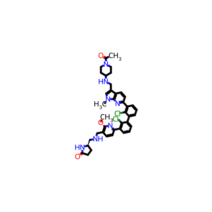 COc1nc(-c2cccc(-c3cccc(-c4ccc5c(CNC6CCN(C(C)=O)CC6)cn(C)c5n4)c3Cl)c2Cl)ccc1CNC[C@H]1CCC(=O)N1